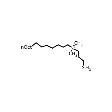 CCCCCCCCCCCCCCC[N+](C)(C)CCC[SiH3]